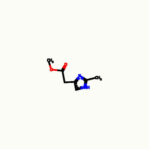 COC(=O)Cc1c[nH]c(C)n1